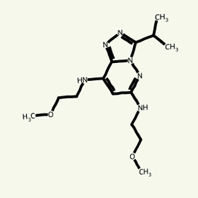 COCCNc1cc(NCCOC)c2nnc(C(C)C)n2n1